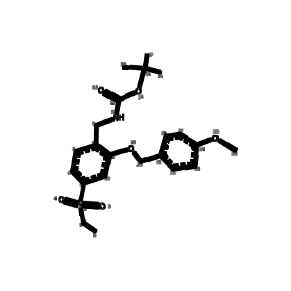 CCS(=O)(=O)c1ccc(CNC(=O)OC(C)(C)C)c(OCc2ccc(OC)cc2)c1